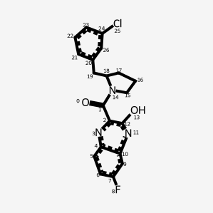 O=C(c1nc2ccc(F)cc2nc1O)N1CCCC1Cc1cccc(Cl)c1